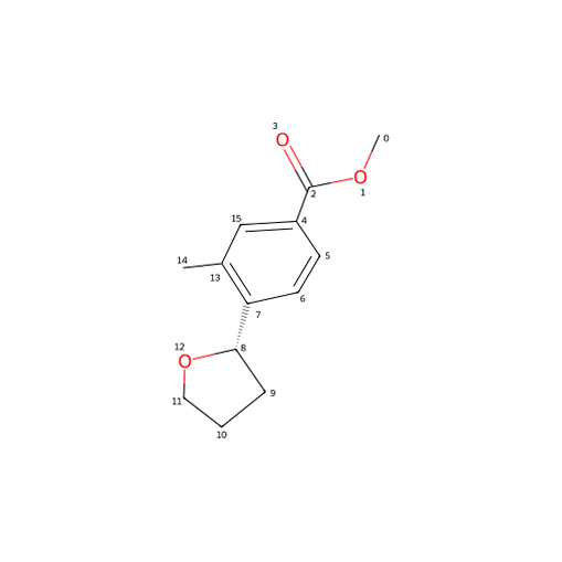 COC(=O)c1ccc([C@@H]2CCCO2)c(C)c1